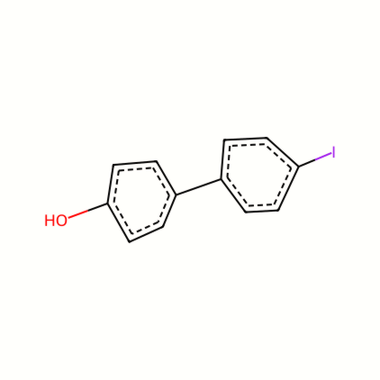 Oc1ccc(-c2ccc(I)cc2)cc1